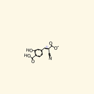 COC(=O)/C(C#N)=C/c1ccc(C(=O)O)c(O)c1